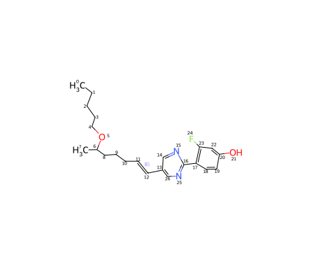 CCCCCOC(C)CCC/C=C/c1cnc(-c2ccc(O)cc2F)nc1